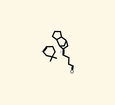 CC1(C)C[C]=CCC1.O=CCC/C=C1\CC2CC1C1CCCC21